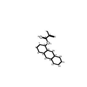 C=C(C)C(=O)OC1CCCC2CC3CCCCC3CC21